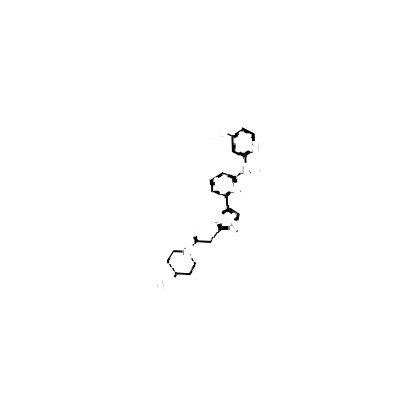 Cc1ccnc(Nc2cccc(-c3cnc(CC(=O)N4CCC(O)CC4)s3)n2)c1